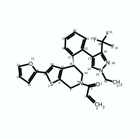 C=CC(=O)N1Cc2sc(-c3ccco3)cc2[C@H](c2ccccc2-c2cn(CC)nc2C(F)(F)F)C1